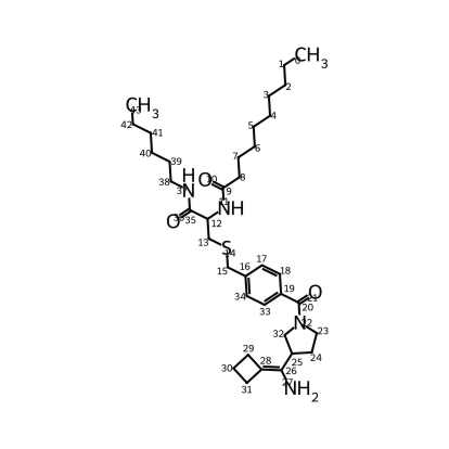 CCCCCCCCCC(=O)NC(CSCc1ccc(C(=O)N2CCC(C(N)=C3CCC3)C2)cc1)C(=O)NCCCCCC